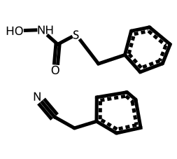 N#CCc1ccccc1.O=C(NO)SCc1ccccc1